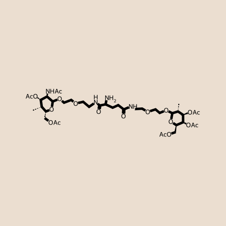 CC(=O)N[C@H]1C(OCCOCCNC(=O)C(N)CCC(=O)NCCOCCOC2O[C@H](COC(C)=O)[C@H](OC(C)=O)[C@H](OC(C)=O)[C@H]2C)O[C@H](COC(C)=O)[C@H](C)[C@@H]1OC(C)=O